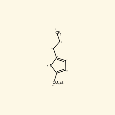 CCOC(=O)c1ccc(CCC(F)(F)F)s1